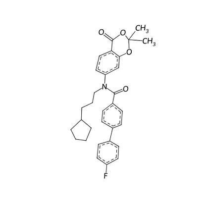 CC1(C)OC(=O)c2ccc(N(CCCC3CCCC3)C(=O)c3ccc(-c4ccc(F)cc4)cc3)cc2O1